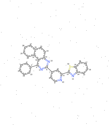 c1ccc(-c2nc(-c3ccnc(-c4nc5ccccc5s4)c3)nc3ccc4ccccc4c23)cc1